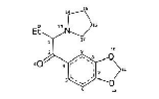 CCC(C(=O)c1ccc2c(c1)OCO2)N1CCCC1